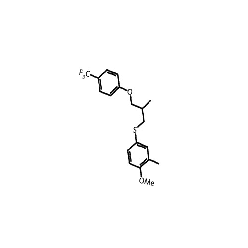 COc1ccc(SCC(C)COc2ccc(C(F)(F)F)cc2)cc1C